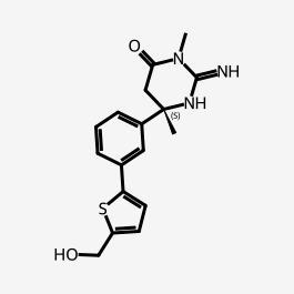 CN1C(=N)N[C@](C)(c2cccc(-c3ccc(CO)s3)c2)CC1=O